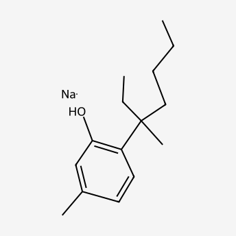 CCCCC(C)(CC)c1ccc(C)cc1O.[Na]